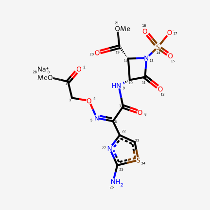 COC(=O)CON=C(C(=O)N[C@H]1C(=O)N(S(=O)(=O)[O-])[C@H]1C(=O)OC)c1csc(N)n1.[Na+]